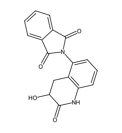 O=C1Nc2cccc(N3C(=O)c4ccccc4C3=O)c2CC1O